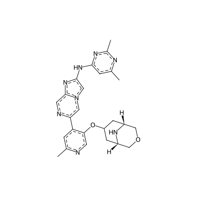 Cc1cc(-c2cn3cc(Nc4cc(C)nc(C)n4)nc3cn2)c(OC2C[C@H]3COC[C@@H](C2)N3)cn1